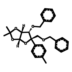 Cc1ccc([C@]2(COCc3ccccc3)O[C@@H]3OC(C)(C)O[C@@H]3[C@@H]2OCc2ccccc2)cc1